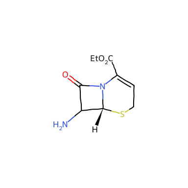 CCOC(=O)C1=CCS[C@@H]2C(N)C(=O)N12